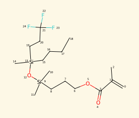 C=C(C)C(=O)OCCC[Si](C)(C)O[Si](C)(CCCC)CCC(F)(F)F